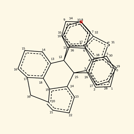 c1ccc2c(c1)-c1ccccc1C13c4cccc5c4-c4c(cccc4C21c1cccc2sc4cccc3c4c12)C5